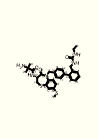 CCNC(=O)NCc1ccccc1-c1ccc(CN2C(=O)[C@H](NC(=O)C(C)(C)N)CSc3cc(SC)ccc32)cc1